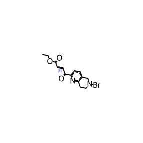 CCOC(=O)/C=C/C(=O)c1ccc2c(n1)CCN(Br)C2